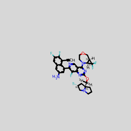 [2H]C([2H])(Oc1nc(N2CCOC[C@@H]3[C@H]2C3(F)F)c2cnc(-c3cc(N)cc4cc(F)c(F)c(C#C)c34)c(F)c2n1)[C@@]12CCCN1C[C@H](F)C2